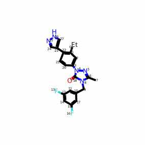 CCc1cc(-n2nc(C)n(Cc3cc(F)cc(F)c3)c2=O)ccc1-c1cn[nH]c1